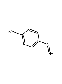 CCCc1ccc(N=N)cc1